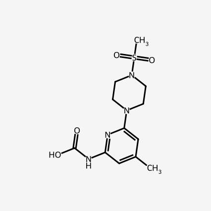 Cc1cc(NC(=O)O)nc(N2CCN(S(C)(=O)=O)CC2)c1